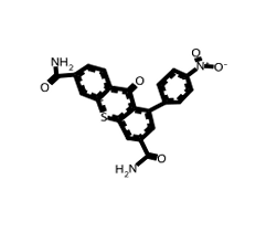 NC(=O)c1ccc2c(=O)c3c(-c4ccc([N+](=O)[O-])cc4)cc(C(N)=O)cc3sc2c1